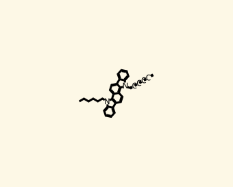 C=C=C=C=C=Cn1c2ccccc2c2ccc3c(ccc4c5ccccc5n(CCCCCC)c34)c21